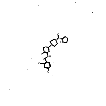 C[C@@H](Nc1nc(N2CCN(C(=O)[C@H]3CCCN3)CC2)ncc1F)c1ccc(Cl)cc1Cl